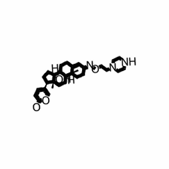 C[C@]12CC/C(=N\OCCN3CCNCC3)C=C1CC[C@@H]1[C@@H]2CC[C@]2(C)[C@@H](c3ccc(=O)oc3)CC[C@]12O